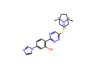 C[C@]12CC[C@](C)(C[C@@H](Sc3cnc(-c4ccc(-n5ccnc5)cc4O)nn3)C1)N2